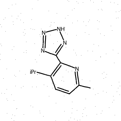 Cc1ccc(C(C)C)c(-c2nn[nH]n2)n1